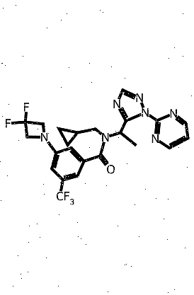 CC(c1ncnn1-c1ncccn1)N(CC1CC1)C(=O)c1cc(N2CC(F)(F)C2)cc(C(F)(F)F)c1